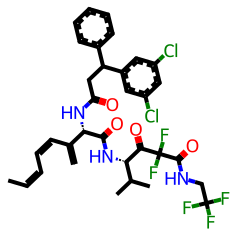 C=C(/C=C\C=C/C)[C@H](NC(=O)CC(c1ccccc1)c1cc(Cl)cc(Cl)c1)C(=O)N[C@H](C(=O)C(F)(F)C(=O)NCC(F)(F)F)C(C)C